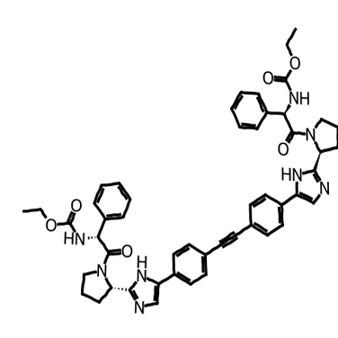 CCOC(=O)N[C@@H](C(=O)N1CCC[C@H]1c1ncc(-c2ccc(C#Cc3ccc(-c4cnc([C@@H]5CCCN5C(=O)[C@H](NC(=O)OCC)c5ccccc5)[nH]4)cc3)cc2)[nH]1)c1ccccc1